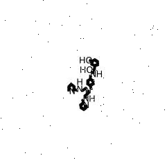 Oc1cccc(CC(O)NCc2ccc(CN(CCNCc3ccccn3)CCNCc3ccccn3)cc2)c1